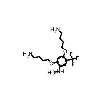 NCCCCOc1cc(OCCCCN)c(C(F)(F)F)cc1NO